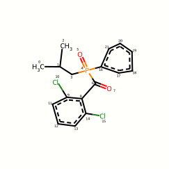 CC(C)CP(=O)(C(=O)c1c(Cl)cccc1Cl)c1ccccc1